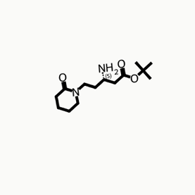 CC(C)(C)OC(=O)C[C@@H](N)CCN1CCCCC1=O